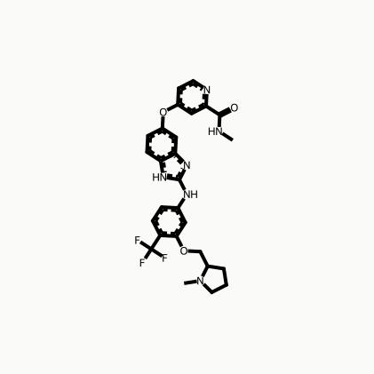 CNC(=O)c1cc(Oc2ccc3[nH]c(Nc4ccc(C(F)(F)F)c(OCC5CCCN5C)c4)nc3c2)ccn1